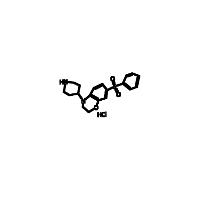 Cl.O=S(=O)(c1ccccc1)c1ccc2c(c1)OCCN2C1CCNCC1